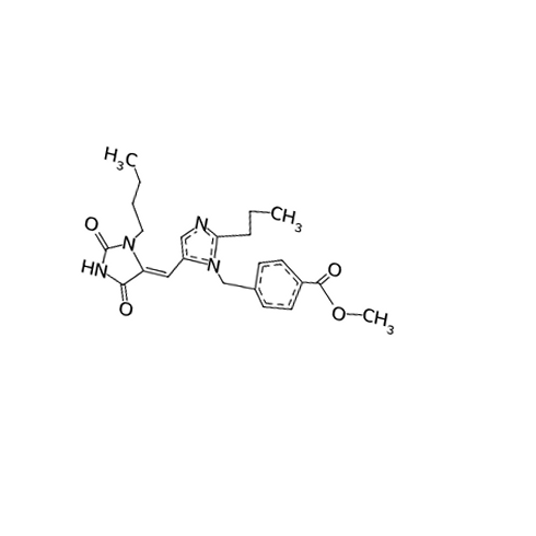 CCCCN1C(=O)NC(=O)C1=Cc1cnc(CCC)n1Cc1ccc(C(=O)OC)cc1